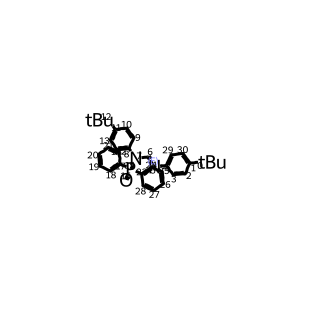 CC(C)(C)c1ccc(/N=C/N(c2ccc(C(C)(C)C)cc2)P(=O)(c2ccccc2)c2ccccc2)cc1